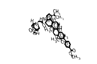 C=C(C)[C@@H]1CC[C@]2(NC(=O)CN3C[C@@H]4C[C@H]3CS4(=O)=O)CC[C@]3(C)[C@H](CC[C@@H]4[C@@]5(C)CC=C(c6ccc(C(=O)OC)cc6)C(C)(C)[C@@H]5CC[C@]43C)[C@@H]12